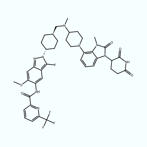 COc1cc2nn([C@H]3CC[C@H](CN(C)C4CCN(c5cccc6c5n(C)c(=O)n6C5CCC(=O)NC5=O)CC4)CC3)c(F)c2cc1NC(=O)c1cccc(C(F)(F)F)n1